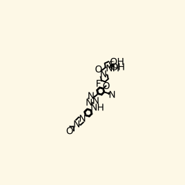 N#Cc1cc(-c2ncnc(Nc3ccc(N4CCN(C5COC5)CC4)cc3)n2)ccc1O[C@H]1CCN(C(=O)C2CCS(O)(O)N2)C[C@@H]1F